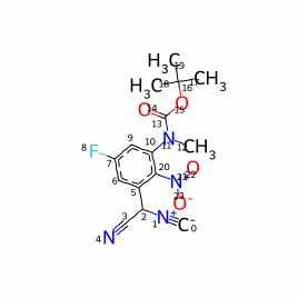 [C-]#[N+]C(C#N)c1cc(F)cc(N(C)C(=O)OC(C)(C)C)c1[N+](=O)[O-]